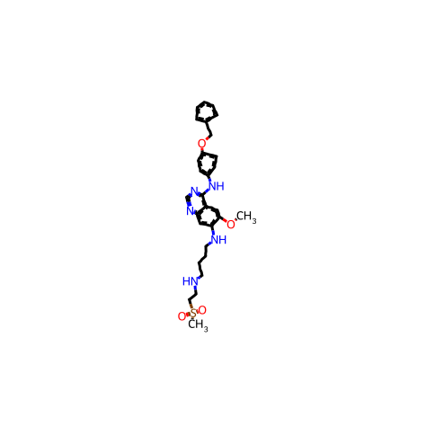 COc1cc2c(Nc3ccc(OCc4ccccc4)cc3)ncnc2cc1NCCCCNCCS(C)(=O)=O